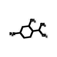 CC(C)C1CCC(N)CC1C